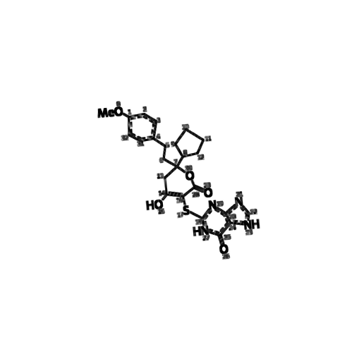 COc1ccc(CCC2(C3CCCC3)CC(O)=C(Sc3nc4nc[nH]c4c(=O)[nH]3)C(=O)O2)cc1